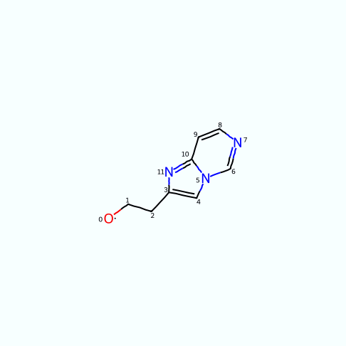 [O]CCc1cn2cnccc2n1